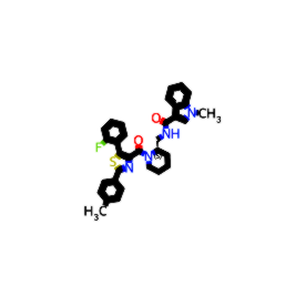 Cc1ccc(-c2nc(C(=O)N3CCCC[C@H]3CNC(=O)c3cn(C)c4ccccc34)c(-c3ccccc3F)s2)cc1